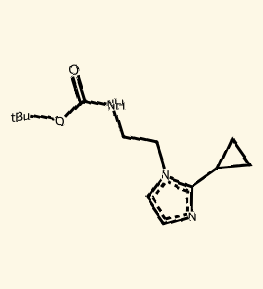 CC(C)(C)OC(=O)NCCn1ccnc1C1CC1